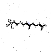 CC(C)=CCC/C(C)=C/CSCCS(=O)(=O)F